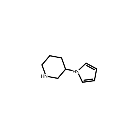 C1=C[SH](C2CCCNC2)C=C1